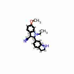 CCN1c2cc(OC)ccc2C(C#N)C1c1ccc2c(c1)NCC2